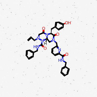 C=CCN1CC(=O)N2[C@@H](Cc3ccc(O)cc3)C(=O)N(Cc3cccc(C(=O)NCc4ccccc4)n3)C[C@@H]2N1C(=O)NCc1ccccc1